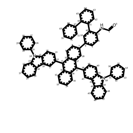 O=CNc1ccc(-c2ccc3c(-c4ccc5c(c4)c4ccccc4n5-c4ccccc4)c4ccccc4c(-c4ccc5c(c4)c4ccccc4n5-c4ccccc4)c3c2)cc1-c1ccccc1-c1ccccc1